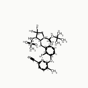 Cc1ccc(C#N)nc1Oc1cccc(C[C@H]2[C@@H](NS(C)(=O)=O)C(F)(F)CN2C(=O)OC(C)(C)C)c1F